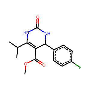 COC(=O)C1=C(C(C)C)NC(=O)NC1c1ccc(F)cc1